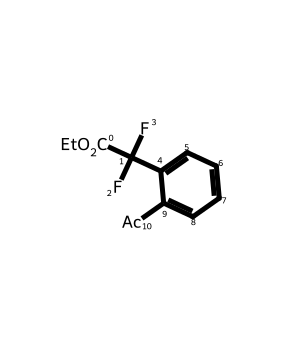 CCOC(=O)C(F)(F)c1ccccc1C(C)=O